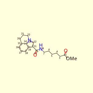 COC(=O)CCCCCNC(=O)c1cn2c3c(cccc13)CCC2